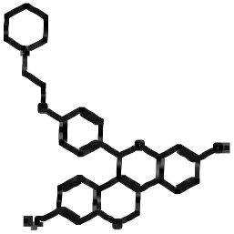 Cc1ccc2c(c1)OCC1=C2C(c2ccc(OCCN3CCCCC3)cc2)Oc2cc(O)ccc21